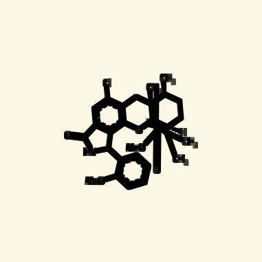 COc1ccccc1C1NC(=O)c2cc(Cl)c3c(c21)O[C@@]12CC(OC)C(=O)C(C)(C)[C@@H]1CC[C@H](C)[C@@]2(C)C3